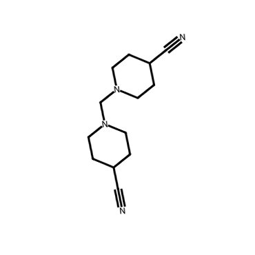 N#CC1CCN(CN2CCC(C#N)CC2)CC1